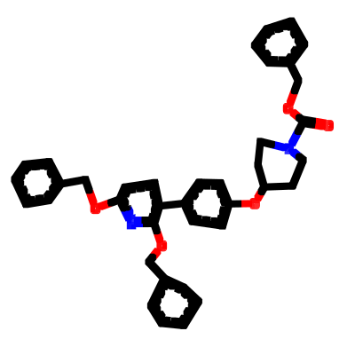 O=C(OCc1ccccc1)N1CCC(Oc2ccc(-c3ccc(OCc4ccccc4)nc3OCc3ccccc3)cc2)CC1